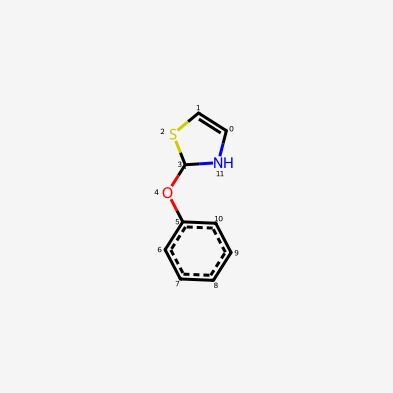 C1=CS[C](Oc2ccccc2)N1